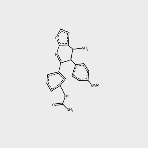 COc1ccc(N2C(c3cccc(NC(N)=O)c3)=Nc3occc3C2N)cc1